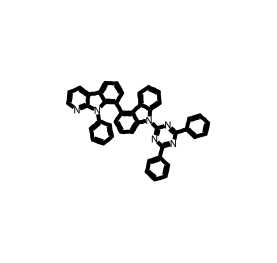 c1ccc(-c2nc(-c3ccccc3)nc(-n3c4ccccc4c4c(-c5cccc6c7cccnc7n(-c7ccccc7)c56)cccc43)n2)cc1